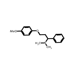 COc1ccc(OCCC(c2ccccc2)N(C)C)cc1